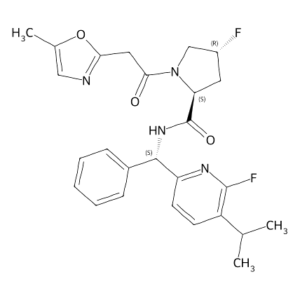 Cc1cnc(CC(=O)N2C[C@H](F)C[C@H]2C(=O)N[C@@H](c2ccccc2)c2ccc(C(C)C)c(F)n2)o1